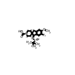 COc1cc2c(cc1F)C(=N[S@+]([O-])C(C)(C)C)C1(CCN(C(=O)O)CC1)C2